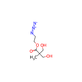 CC(CO)(CO)C(=O)OCCN=[N+]=[N-]